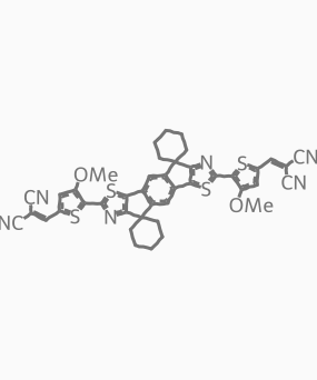 COc1cc(C=C(C#N)C#N)sc1-c1nc2c(s1)-c1cc3c(cc1C21CCCCC1)-c1sc(-c2sc(C=C(C#N)C#N)cc2OC)nc1C31CCCCC1